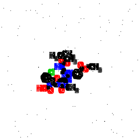 CCOC(=O)C1CCCC(Nc2nc3c(c(=O)n(Cc4cc5c(Cl)cccc5n4C(=O)O)c(=O)n3C)n2CCNC(=O)OC(C)(C)C)C1